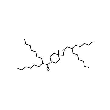 CCCCCCCC(CCCCCC)C(=O)N1CCC2(CC1)CN(CC(CCCCC)CCCCCC)C2